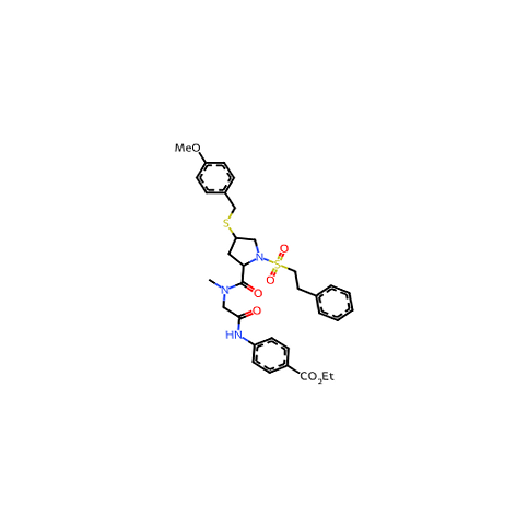 CCOC(=O)c1ccc(NC(=O)CN(C)C(=O)C2CC(SCc3ccc(OC)cc3)CN2S(=O)(=O)CCc2ccccc2)cc1